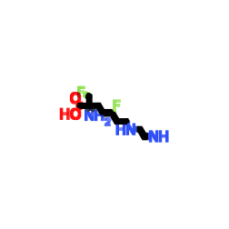 N=CCNCC/C(F)=C/C[C@@](N)(CF)C(=O)O